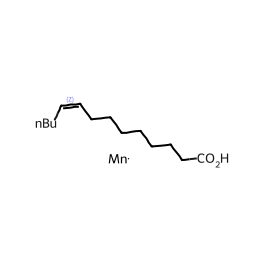 CCCC/C=C\CCCCCCCC(=O)O.[Mn]